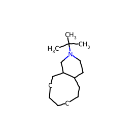 CC(C)(C)N1CCC2CCCCCCCC2C1